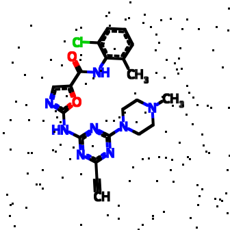 C#Cc1nc(Nc2ncc(C(=O)Nc3c(C)cccc3Cl)o2)nc(N2CCN(C)CC2)n1